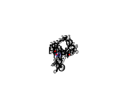 C=CC(=O)N1C[C@H](C)N(/C(=N/C)c2cc(F)c3nc2Nc2c(ccnc2C(C)C)CCC2(CC2)COc2ccc(F)c(F)c2-3)C[C@H]1C